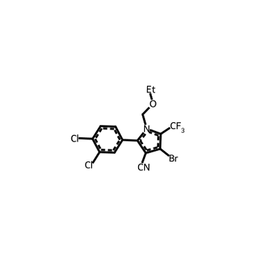 CCOCn1c(-c2ccc(Cl)c(Cl)c2)c(C#N)c(Br)c1C(F)(F)F